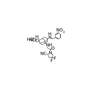 Cl.Cl.Cl.N#C[C@@H]1CC(F)(F)CN1C(=O)CNC12CC3CC(C1)CC(NCc1cccc([N+](=O)[O-])c1)(C3)C2